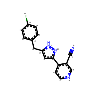 N#Cc1cnccc1-c1cc(Cc2ccc(F)cc2)[nH]n1